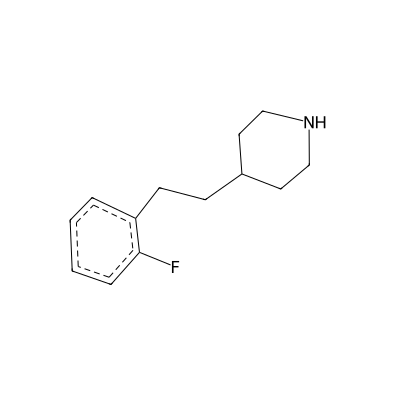 Fc1ccccc1CCC1CCNCC1